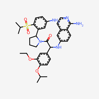 CCOc1cc(C(Nc2ccc3c(N)nccc3c2)C(=O)N2CCCC2c2cc(N)ccc2S(=O)(=O)C(C)C)ccc1OC(C)C